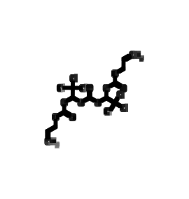 C=CCOC(=O)OC(OC(=O)OC(OC(=O)OCC=C)C(Cl)(Cl)Cl)C(Cl)(Cl)Cl